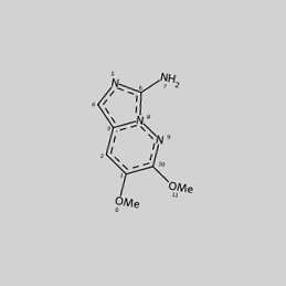 COc1cc2cnc(N)n2nc1OC